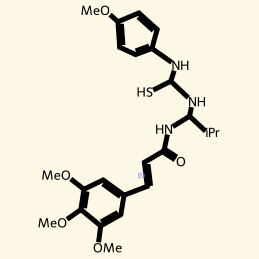 COc1ccc(NC(S)NC(NC(=O)/C=C/c2cc(OC)c(OC)c(OC)c2)C(C)C)cc1